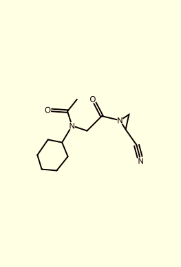 CC(=O)N(CC(=O)N1CC1C#N)C1CCCCC1